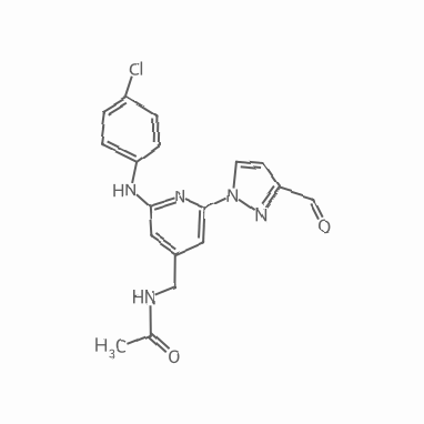 CC(=O)NCc1cc(Nc2ccc(Cl)cc2)nc(-n2ccc(C=O)n2)c1